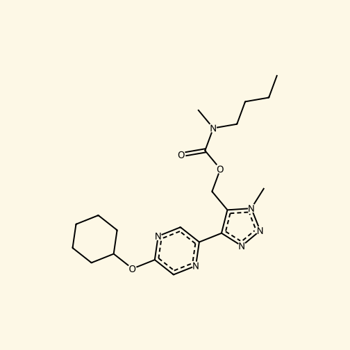 CCCCN(C)C(=O)OCc1c(-c2cnc(OC3CCCCC3)cn2)nnn1C